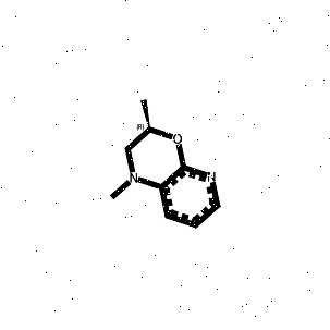 C[C@@H]1CN(C)c2c[c]cnc2O1